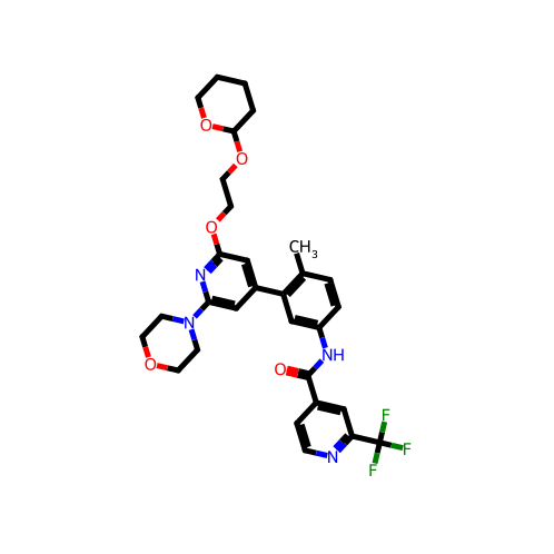 Cc1ccc(NC(=O)c2ccnc(C(F)(F)F)c2)cc1-c1cc(OCCOC2CCCCO2)nc(N2CCOCC2)c1